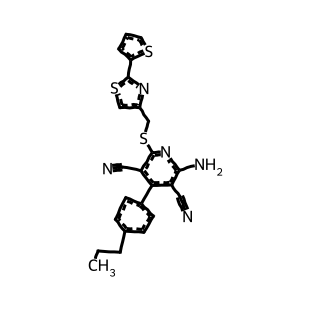 CCCc1ccc(-c2c(C#N)c(N)nc(SCc3csc(-c4cccs4)n3)c2C#N)cc1